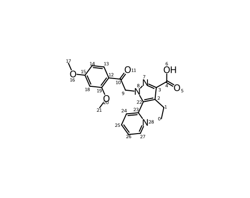 CCc1c(C(=O)O)nn(CC(=O)c2ccc(OC)cc2OC)c1-c1ccccn1